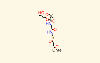 COC(=O)CCC(=O)SCCNC(=O)CCNC(=O)[C@@H]1OC(CC(C)O)OCC1(C)C